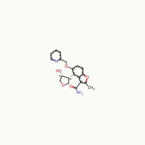 Cc1oc2ccc(OCc3ccccn3)c([C@@H]3COC[C@@H]3O)c2c1C(N)=O